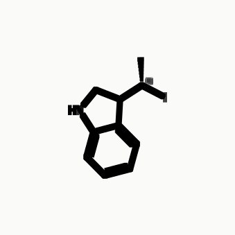 C[C@H](I)C1CNc2ccccc21